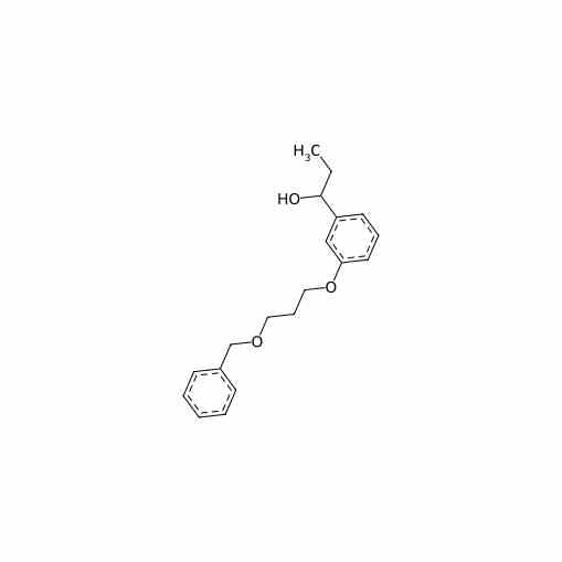 CCC(O)c1cccc(OCCCOCc2ccccc2)c1